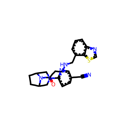 N#Cc1ccc(N2CC3CCC(C2)N3C(=O)CCNCc2cccc3ncsc23)nc1